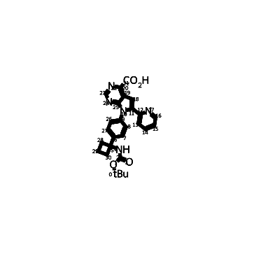 CC(C)(C)OC(=O)NC1(c2ccc(-n3c(-c4ccccn4)cc4c(C(=O)O)ncnc43)cc2)CCC1